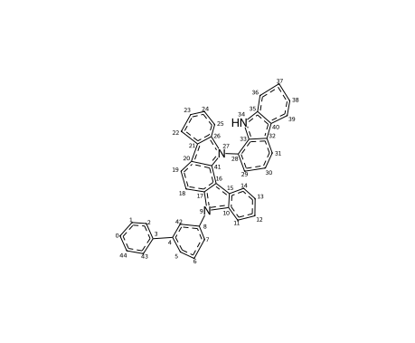 c1ccc(-c2cccc(-n3c4ccccc4c4c3ccc3c5ccccc5n(-c5cccc6c5[nH]c5ccccc56)c34)c2)cc1